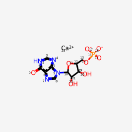 O=c1[nH]cnc2c1ncn2C1OC(COP(=O)([O-])[O-])C(O)C1O.[Ca+2]